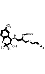 CCCCCCOC(=CN[C@@H]1c2cc([N+](=O)[O-])ccc2OC(CC)(CC)[C@H]1O)COCC=C=O